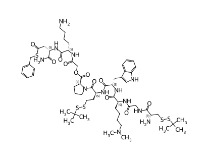 CN(C)CCCC[C@H](NC(=O)CNC(=O)[C@@H](N)CSSC(C)(C)C)C(=O)N[C@@H](Cc1c[nH]c2ccccc12)C(=O)N[C@@H](CCSSC(C)(C)C)C(=O)N1CCC[C@H]1C(=O)OCC(=O)N[C@@H](CCCCN)C(=O)N[C@@H](CC(=O)SCc1ccccc1)C(N)=O